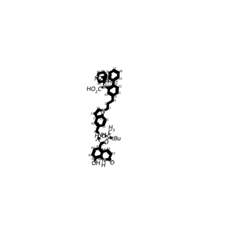 CC(C)(C)[Si](C)(C)O[C@@H](CNCc1ccc2c(ccn2CCCc2ccc(-c3ccccc3)c(N(C(=O)O)[C@H]3CN4CCC3CC4)c2)c1)c1ccc(O)c2[nH]c(=O)ccc12